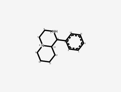 c1ccc(C2NCCN3CCCCC23)cc1